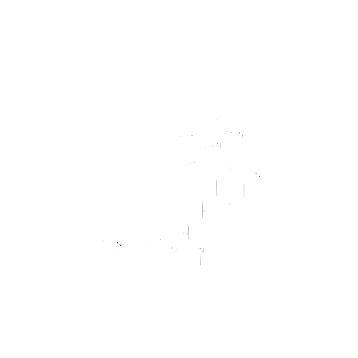 C=N/C(=C\C=C(/C)c1ccc2ncc3c(c2c1)n(C1CCOCC1)c(=O)n3C)OCCCN1CCC1